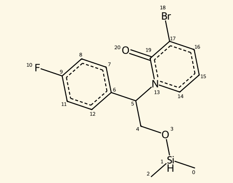 C[SiH](C)OCC(c1ccc(F)cc1)n1cccc(Br)c1=O